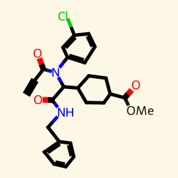 C#CC(=O)N(c1cccc(Cl)c1)C(C(=O)NCc1ccccc1)C1CCC(C(=O)OC)CC1